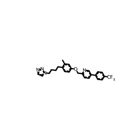 Cc1cc(OCc2ccc(-c3ccc(C(F)(F)F)cc3)cn2)ccc1CCCCn1ccnn1